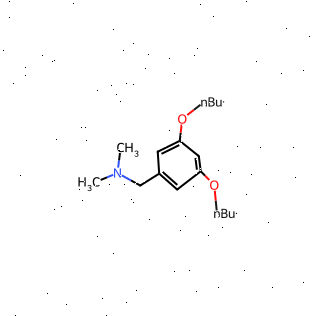 [CH2]CC[CH]Oc1cc(CN(C)C)cc(O[CH]CC[CH2])c1